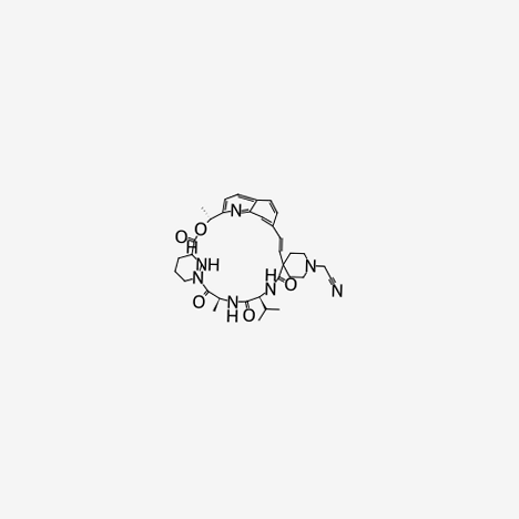 CC(C)[C@@H]1NC(=O)C2(/C=C/c3ccc4ccc(nc4c3)[C@@H](C)OC(=O)[C@@H]3CCCN(N3)C(=O)[C@H](C)NC1=O)CCN(CC#N)CC2